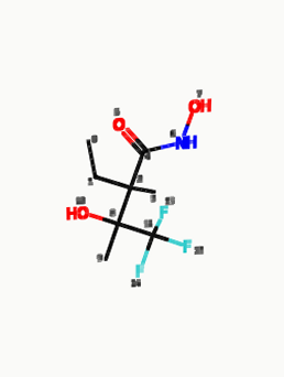 CCC(C)(C(=O)NO)C(C)(O)C(F)(F)F